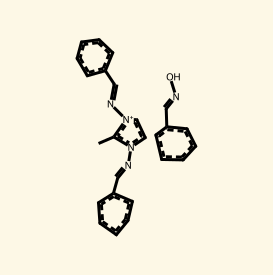 Cc1n(N=Cc2ccccc2)cc[n+]1N=Cc1ccccc1.ON=Cc1ccccc1